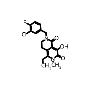 CCc1c2c(c(O)c(=O)n1C)C(=O)N(Cc1ccc(F)c(Cl)c1)CC2